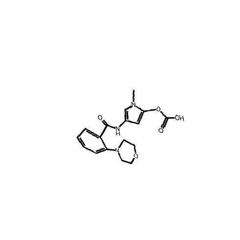 Cn1cc(NC(=O)c2ccccc2N2CCOCC2)cc1OC(=O)O